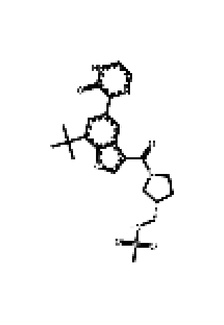 CC(C)(C)c1cc(-c2ncc[nH]c2=O)cc2c(C(=O)N3CC[C@H](CNS(C)(=O)=O)C3)coc12